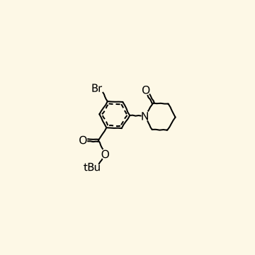 CC(C)(C)OC(=O)c1cc(Br)cc(N2CCCCC2=O)c1